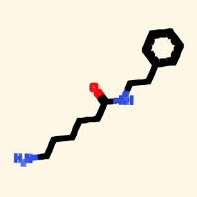 NCCCCCC(=O)NCCc1ccccc1